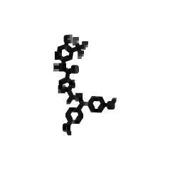 COc1ccc(C(N=C(C)c2ncc(C(=O)Nc3cc(C(F)(F)F)c(Cl)cn3)s2)c2ccc(OC)cc2)cc1